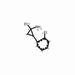 CCc1ccccc1C1CC1(N)CC